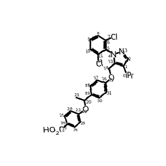 CC(C)c1cnn(-c2c(Cl)cccc2Cl)c1COc1ccc(C(C)Oc2ccc(C(=O)O)cc2)cc1